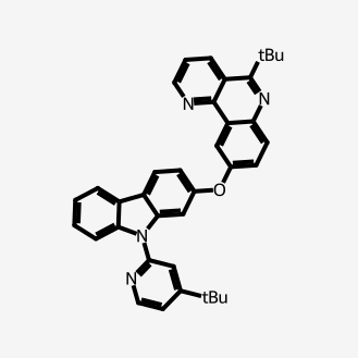 CC(C)(C)c1ccnc(-n2c3ccccc3c3ccc(Oc4ccc5nc(C(C)(C)C)c6cccnc6c5c4)cc32)c1